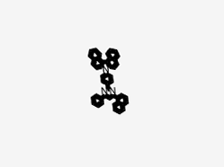 c1ccc(-c2cc(-c3cccc4ccccc34)nc(-c3ccc(-n4c5ccc6ccccc6c5c5c6ccccc6ccc54)cc3)n2)cc1